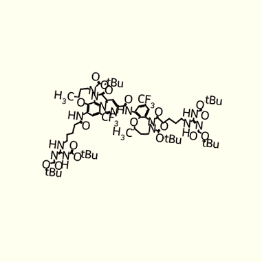 C[C@H]1CCN(C(=O)OC(C)(C)C)N(C(=O)CCCCN/C(=N\C(=O)OC(C)(C)C)NC(=O)OC(C)(C)C)c2cc(C(F)(F)F)cc(NC(=O)c3cc(C(=O)N4c5cc(C(F)(F)F)cc(NC(=O)CCCCN/C(=N/C(=O)OC(C)(C)C)NC(=O)OC(C)(C)C)c5O[C@@H](C)CCN4C(=O)OC(C)(C)C)ncn3)c2O1